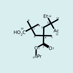 CCCOC(=O)C(C)(CC(C)(C)C(=O)O)CC(C)(CC)C(C)=O